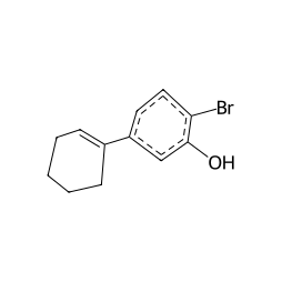 Oc1cc(C2=CCCCC2)ccc1Br